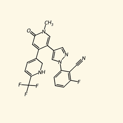 Cn1cc(-c2cnn(-c3cccc(F)c3C#N)c2)c(C2=CC=C(C(F)(F)F)NC2)cc1=O